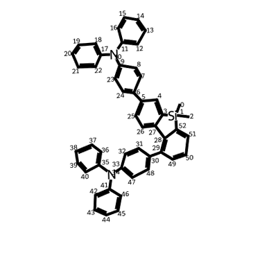 C[Si]1(C)c2cc(-c3ccc(N(c4ccccc4)c4ccccc4)cc3)ccc2-c2c(-c3ccc(N(c4ccccc4)c4ccccc4)cc3)cccc21